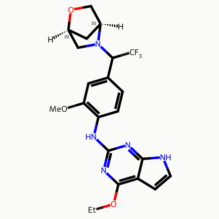 CCOc1nc(Nc2ccc(C(N3C[C@@H]4C[C@H]3CO4)C(F)(F)F)cc2OC)nc2[nH]ccc12